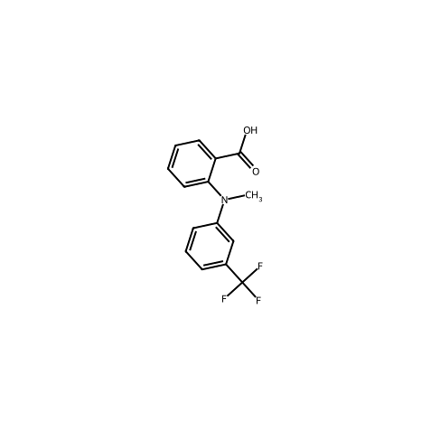 CN(c1cccc(C(F)(F)F)c1)c1ccccc1C(=O)O